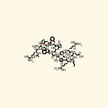 CCCC[C@H](NC(=O)[C@H](CCC(=O)O)NC(=O)[C@@H](CCCNC(=N)N)NC(=O)[C@@H]1CCCN1C(=O)[C@@H]1CCCN1C(=O)[C@H](CS)NC(=O)[C@H](Cc1c[nH]c2ccccc12)NC(=O)[C@H](Cc1c[nH]cn1)NC(=O)[C@@H](Cc1ccccc1)NC(=O)[C@H](Cc1c[nH]cn1)NC(=O)[C@@H]1CCCN1C(=O)[C@H](CS)NC(=O)[C@H](CCCNC(=N)N)NC(C)=O)C(=O)N[C@@H](CCCNC(=N)N)C(N)=O